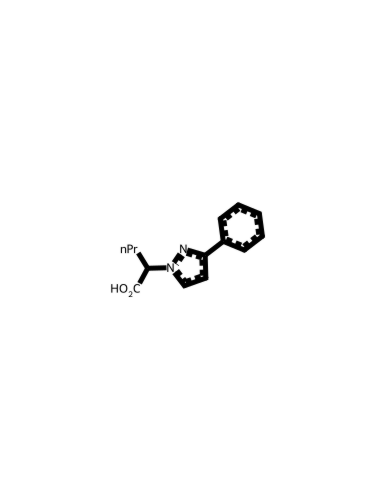 CCCC(C(=O)O)n1ccc(-c2ccccc2)n1